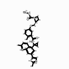 Cc1ccc2c(C3(NC(=O)c4cc(OC[C@@H]5CCN5C(=O)OC(C)(C)C)ccc4C)CC3)cc(-c3cnc(C)s3)cc2n1